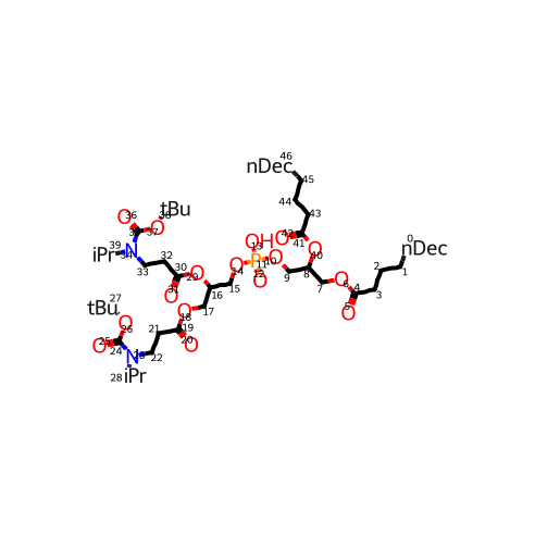 CCCCCCCCCCCCCC(=O)OCC(COP(=O)(O)OCC(COC(=O)CCN(C(=O)OC(C)(C)C)C(C)C)OC(=O)CCN(C(=O)OC(C)(C)C)C(C)C)OC(=O)CCCCCCCCCCCCC